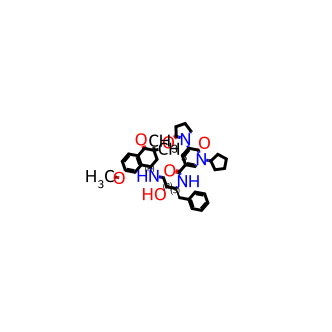 COc1ccc2c(c1)[C@H](NC[C@@H](O)[C@H](Cc1ccccc1)NC(=O)c1cc(N3CCCC3=O)c(=O)n(C3CCCC3)c1)CC(C)(C)C2=O